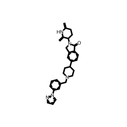 C=C1CCC(N2Cc3cc(C4CCN(Cc5cccc(-n6cccn6)c5)CC4)ccc3C2=O)C(=C)N1